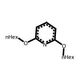 CCCCCCOc1c[c]cc(OCCCCCC)n1